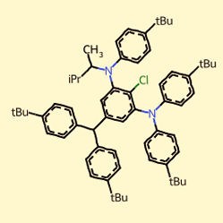 CC(C)C(C)N(c1ccc(C(C)(C)C)cc1)c1cc(C(c2ccc(C(C)(C)C)cc2)c2ccc(C(C)(C)C)cc2)cc(N(c2ccc(C(C)(C)C)cc2)c2ccc(C(C)(C)C)cc2)c1Cl